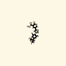 Cc1cc(C(F)(C(F)(F)F)C(F)(F)F)cc(C)c1-n1cc(-c2cnc(Cl)c(C(=O)O)c2)nn1